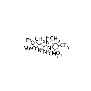 C=C(OCC)c1cc2c(N[C@H](C)c3cc([N+](=O)[O-])cc(C(F)(F)F)c3)nc(C)nc2nc1OC